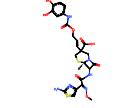 CON=C(C(=O)NC1C(=O)N2CC(C=CCOC(=O)Nc3ccc(O)c(O)c3)(C(=O)O)CS[C@H]12)c1csc(N)n1